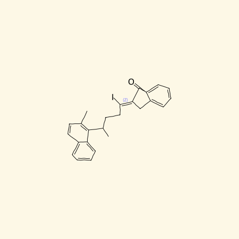 Cc1ccc2ccccc2c1C(C)CC/C(I)=C1\Cc2ccccc2C1=O